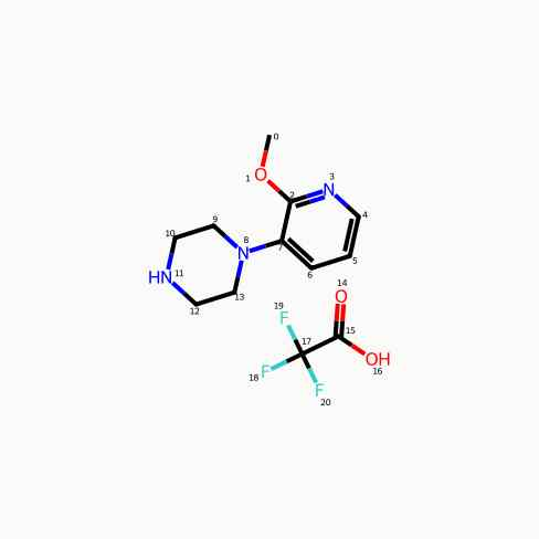 COc1ncccc1N1CCNCC1.O=C(O)C(F)(F)F